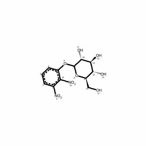 O=[N+]([O-])c1cccc(OC2O[C@H](CO)[C@@H](O)[C@H](O)[C@H]2O)c1[N+](=O)[O-]